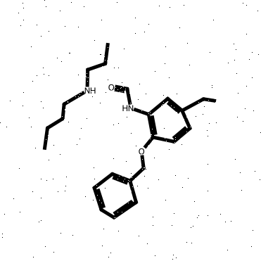 CCCCNCCC.CCc1ccc(OCc2ccccc2)c(NC=O)c1